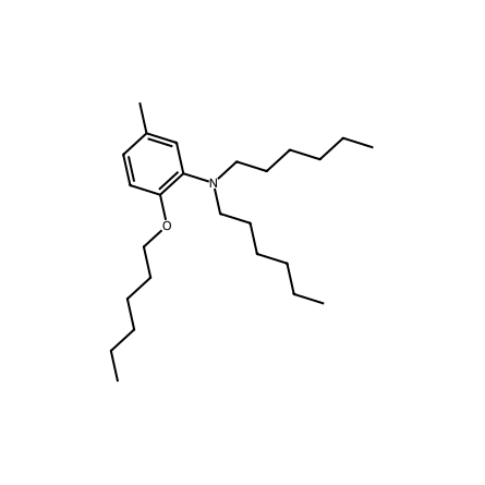 CCCCCCOc1ccc(C)cc1N(CCCCCC)CCCCCC